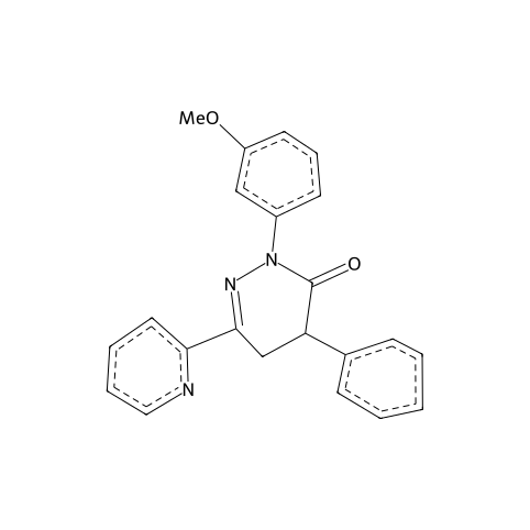 COc1cccc(N2N=C(c3ccccn3)CC(c3ccccc3)C2=O)c1